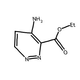 CCOC(=O)c1nnccc1N